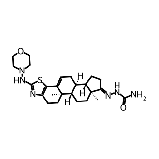 C[C@]12CCc3nc(NN4CCOCC4)sc3C1=CC[C@@H]1[C@@H]2CC[C@]2(C)/C(=N/NC(N)=O)CC[C@@H]12